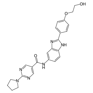 O=C(Nc1ccc2[nH]c(-c3ccc(OCCO)cc3)nc2c1)c1cnc(N2CCCC2)nc1